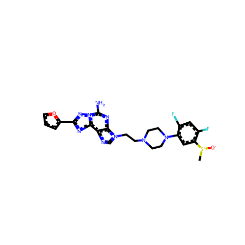 C[S+]([O-])c1cc(N2CCN(CCn3cnc4c3nc(N)n3nc(-c5ccco5)nc43)CC2)c(F)cc1F